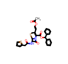 CC(=O)O/C=C/C1=C(C(=O)OC(c2ccccc2)c2ccccc2)N2C(=O)C(NC(=O)Cc3cccs3)C2SC1